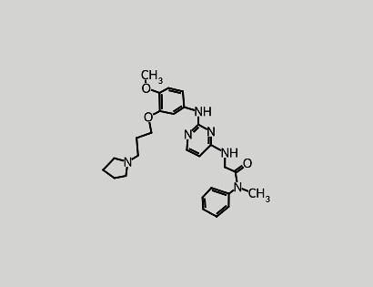 COc1ccc(Nc2nccc(NCC(=O)N(C)c3ccccc3)n2)cc1OCCCN1CCCC1